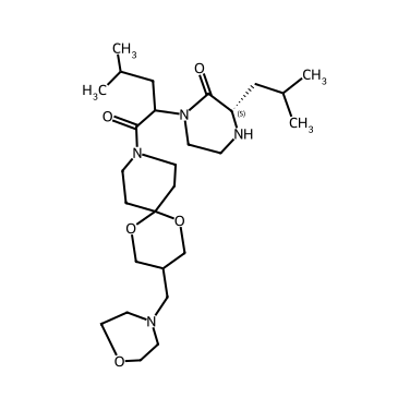 CC(C)CC(C(=O)N1CCC2(CC1)OCC(CN1CCOCC1)CO2)N1CCN[C@@H](CC(C)C)C1=O